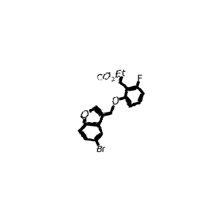 CCOC(=O)Cc1c(F)cccc1OCc1coc2ccc(Br)cc12